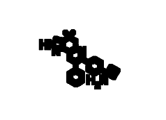 CC1(C)Cc2nc(-c3ccc(C4(N)CCC4)cc3)c(-c3ccccc3)cc2-c2n[nH]cc21